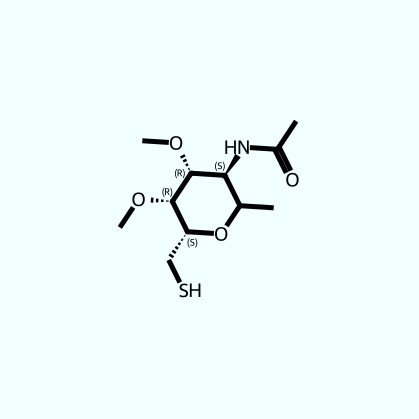 CO[C@@H]1[C@H](OC)[C@@H](NC(C)=O)C(C)O[C@@H]1CS